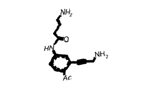 CC(=O)c1ccc(NC(=O)CCCN)cc1C#CCN